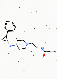 CNC(=O)NCCN1CCC(N[C@@H]2C[C@H]2c2ccccc2)CC1